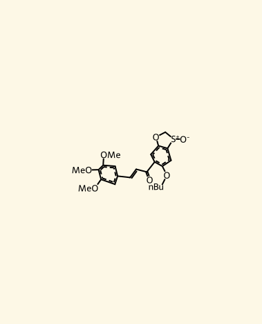 CCCCOc1cc2c(cc1C(=O)C=Cc1cc(OC)c(OC)c(OC)c1)OC[S+]2[O-]